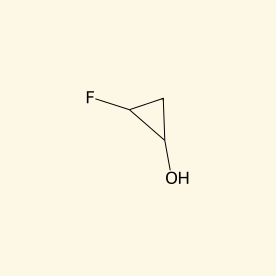 OC1CC1F